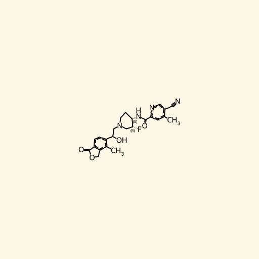 Cc1cc(C(=O)N[C@H]2CCN(CC(O)c3ccc4c(c3C)COC4=O)C[C@H]2F)ncc1C#N